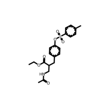 CCOC(=O)C(CNC(C)=O)Cc1ccc(OS(=O)(=O)c2ccc(C)cc2)cc1